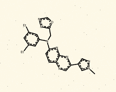 CCc1cc(CC)cc(N(Cc2nnco2)c2ccc3ncc(-c4cnn(C)c4)nc3n2)c1